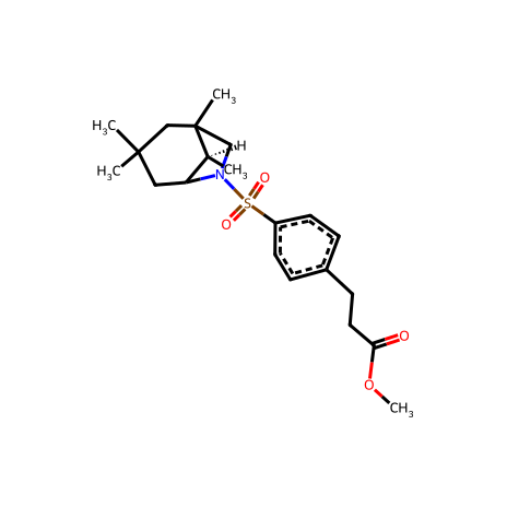 COC(=O)CCc1ccc(S(=O)(=O)N2CC3(C)CC(C)(C)CC2[C@@H]3C)cc1